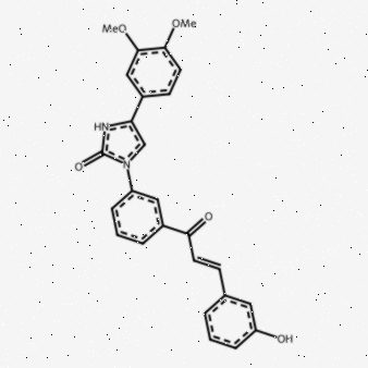 COc1ccc(-c2cn(-c3cccc(C(=O)/C=C/c4cccc(O)c4)c3)c(=O)[nH]2)cc1OC